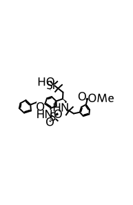 COC(=O)c1cccc(CC(C)(C)NC[C@H](CC(C)(C)[Si](C)(C)O)c2ccc(OCc3ccccc3)c(NS(C)(=O)=O)c2)c1